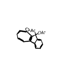 CC(=O)OC1(OC(C)=O)C2=C(C=CC=C=C2)c2ccccc21